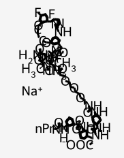 CCCNC(=O)Nc1cccc(S(=O)(=O)Nc2cccc([C@@H](CC(=O)[O-])NC(=O)Nc3ccc(NC(=O)NCCOCCOCCOCCC(=O)N[C@@H](C)C(=O)N(C)[C@@H](C)C(=O)N[C@@H](CC(=O)N=[S@@](C)(=O)Cc4cc5cc(c4)OCCCCOc4cc(F)ccc4-c4nc(ncc4F)N5)C(N)=O)cc3)c2)c1.[Na+]